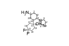 Nc1ccc(-n2ccnc2)c(C2(O)CCC(F)(F)CC2)c1